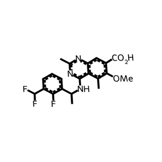 COc1c(C(=O)O)cc2nc(C)nc(NC(C)c3cccc(C(F)F)c3F)c2c1C